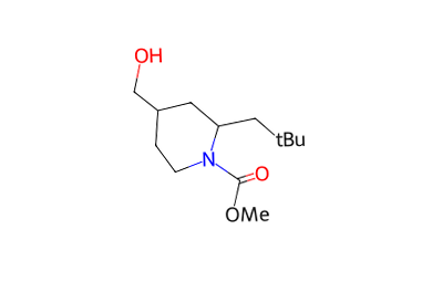 COC(=O)N1CCC(CO)CC1CC(C)(C)C